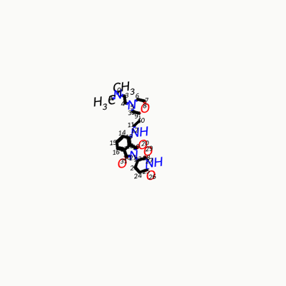 CN(C)CCN1CCO[C@H](CCNc2cccc3c2C(=O)N(C2CCC(=O)NC2=O)C3=O)C1